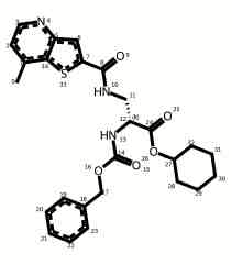 Cc1ccnc2cc(C(=O)NC[C@@H](NC(=O)OCc3ccccc3)C(=O)OC3CCCCC3)sc12